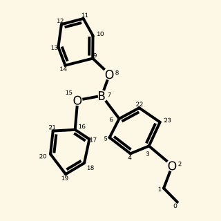 CCOc1ccc(B(Oc2ccccc2)Oc2ccccc2)cc1